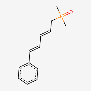 CP(C)(=O)C/C=C/C=C/c1ccccc1